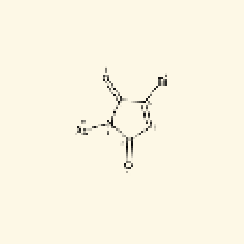 CC(=O)N1C(=O)C=C(Br)C1=O